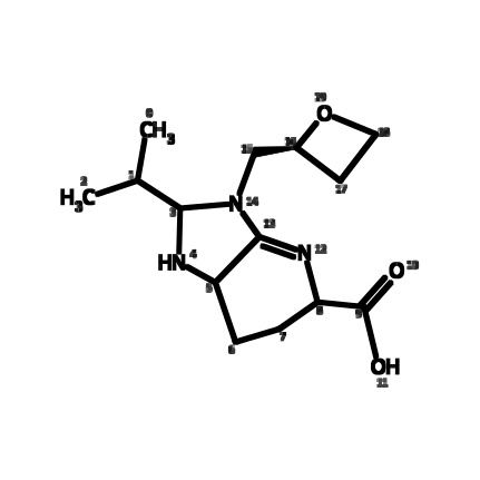 CC(C)C1NC2CCC(C(=O)O)N=C2N1C[C@@H]1CCO1